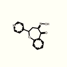 O=C1C(=NO)CC(c2ccncc2)Oc2ccccc21